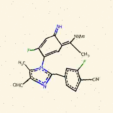 CN/C(C)=C1/C=C(n2c(-c3ccc(C#N)c(F)c3)nc(C=O)c2C)C(F)=CC1=N